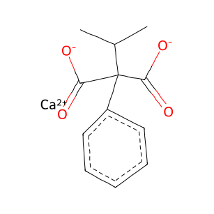 CC(C)C(C(=O)[O-])(C(=O)[O-])c1ccccc1.[Ca+2]